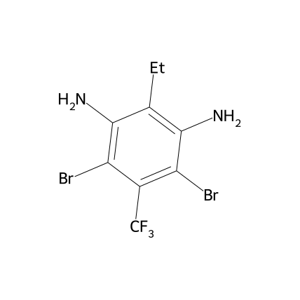 CCc1c(N)c(Br)c(C(F)(F)F)c(Br)c1N